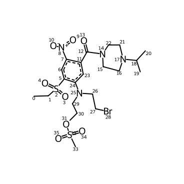 CCS(=O)(=O)c1cc([N+](=O)[O-])c(C(=O)N2CCN(C(C)C)CC2)cc1N(CCBr)CCOS(C)(=O)=O